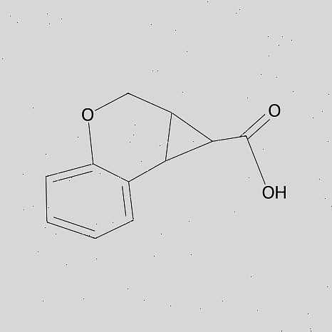 O=C(O)C1C2COc3ccccc3C21